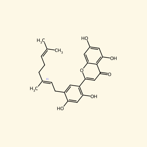 CC(C)=CCC/C(C)=C/Cc1cc(-c2cc(=O)c3c(O)cc(O)cc3o2)c(O)cc1O